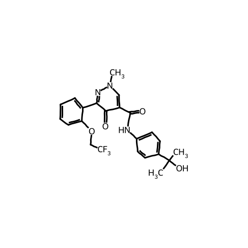 Cn1cc(C(=O)Nc2ccc(C(C)(C)O)cc2)c(=O)c(-c2ccccc2OCC(F)(F)F)n1